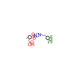 Cc1ccc(S(=O)(=O)N2CCN(CCCc3ccc(C(F)(F)F)c(F)c3)CC2)cc1CC(=O)O